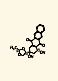 C[C@@H]1OC[C@H](C2(O)CC3=C(C(=O)c4cc5ccccc5cc4C3=O)[C@H](O)C2)O1